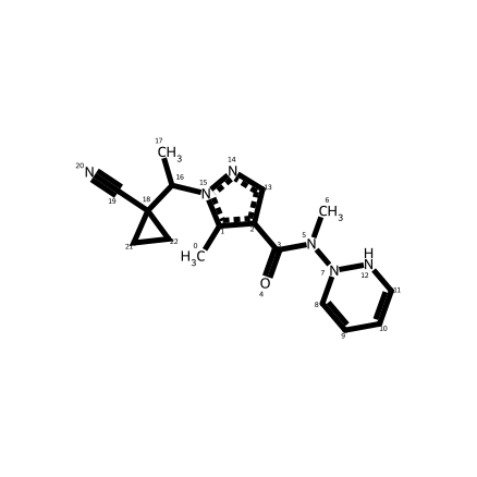 Cc1c(C(=O)N(C)N2C=CC=CN2)cnn1C(C)C1(C#N)CC1